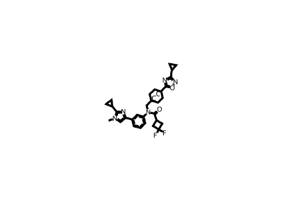 Cn1cc(-c2cccc(N(CC34CCC(c5nc(C6CC6)no5)(CC3)CC4)C(=O)C3CC(F)(F)C3)c2)nc1C1CC1